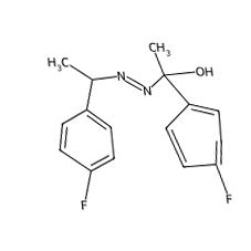 CC(/N=N/C(C)(O)c1ccc(F)cc1)c1ccc(F)cc1